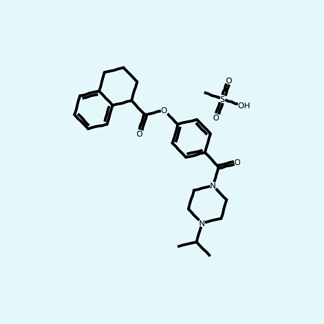 CC(C)N1CCN(C(=O)c2ccc(OC(=O)C3CCCc4ccccc43)cc2)CC1.CS(=O)(=O)O